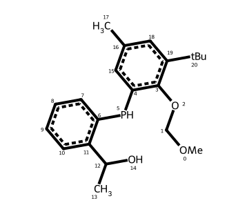 COCOc1c(Pc2ccccc2C(C)O)cc(C)cc1C(C)(C)C